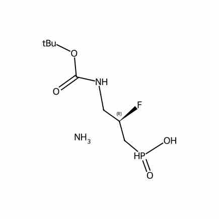 CC(C)(C)OC(=O)NC[C@@H](F)C[PH](=O)O.N